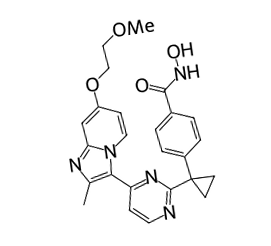 COCCOc1ccn2c(-c3ccnc(C4(c5ccc(C(=O)NO)cc5)CC4)n3)c(C)nc2c1